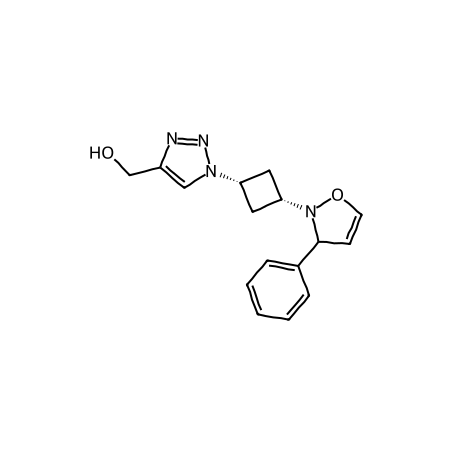 OCc1cn([C@H]2C[C@@H](N3OC=CC3c3ccccc3)C2)nn1